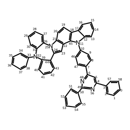 c1ccc(-c2cc(-c3ccc(-n4c5ccccc5c5ccc6c(cc7n6-c6ccccc6N(c6ccccc6)c6ccccc6-7)c54)cc3)nc(-c3ccccc3)n2)cc1